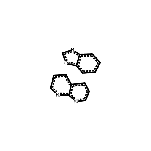 c1ccc2ocnc2c1.c1cnc2ncccc2c1